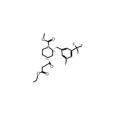 CCOC(=O)CC(=O)[C@@H]1CCN(C(=O)OC)[C@H](Cc2cc(F)cc(C(F)(F)F)c2)C1